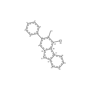 Cc1c(-c2ccccc2)cc2sc3ccccc3c2c1Cl